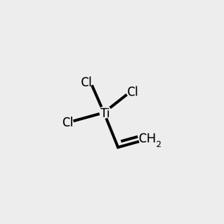 C=[CH][Ti]([Cl])([Cl])[Cl]